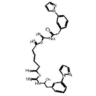 N=C(CCCCC(=N)SC(=N)NC(O)Cc1cccc(-n2cccn2)c1)SC(=N)NC(=O)Cc1cccc(-n2cccn2)c1